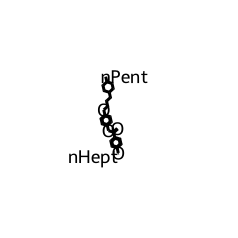 CCCCCCCOc1ccc(C(=O)Oc2ccc(OCCCC3CCC(CCCCC)CC3)cc2)cc1